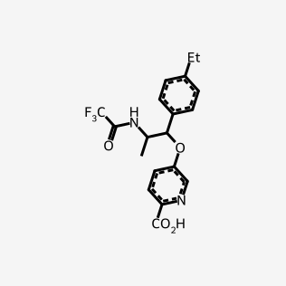 CCc1ccc(C(Oc2ccc(C(=O)O)nc2)C(C)NC(=O)C(F)(F)F)cc1